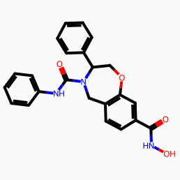 O=C(NO)c1ccc2c(c1)OCC(c1ccccc1)N(C(=O)Nc1ccccc1)C2